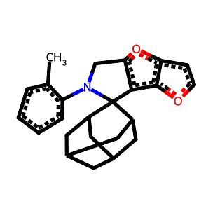 Cc1ccccc1N1Cc2oc3ccoc3c2C12C1CC3CC(C1)CC2C3